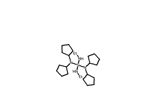 CCN[Si](NCC)(N(C1CCCC1)C1CCCC1)N(C1CCCC1)C1CCCC1